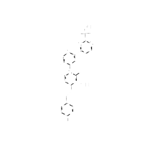 Cc1cnc(-c2ccnc(C(C)(C)O)n2)cc1-n1c(C)cc(OCc2ccc(F)cc2)c(C)c1=O